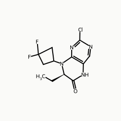 CC[C@@H]1C(=O)Nc2cnc(Cl)nc2N1C1CC(F)(F)C1